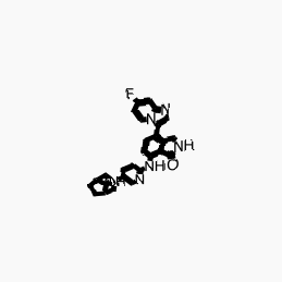 O=C1NCc2c(-c3cnc4cc(F)ccn34)ccc(Nc3ccc(N4CC5CCC(C4)C5O)cn3)c21